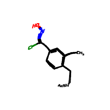 CC(=O)NCc1ccc(C(Cl)=NO)cc1C